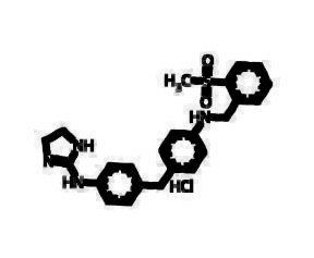 CS(=O)(=O)c1ccccc1CNc1ccc(Cc2ccc(NC3=NCCN3)cc2)cc1.Cl